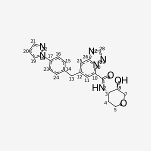 O=C(N[C@H]1CCOC[C@@H]1O)c1cc(Cc2ccc(-n3cccn3)cc2)cc2ncnn12